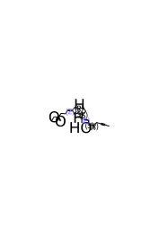 CC#CC[C@@H](C)[C@H](O)/C=C/[C@H]1CC[C@@H]2C/C(=C/CCC(=O)OC)C[C@@H]21